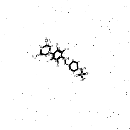 CC(C)S(=O)(=O)N[C@H]1CC[C@H](CNc2c(F)c(F)c(N3C[C@@H](C)O[C@@H](C)C3)c(F)c2F)CC1